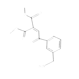 COC(=O)C(=CC(=O)c1cccc(CN)c1)C(=O)OC